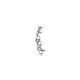 C[C@H]1CC[C@]2(NC1)O[C@@]1(C)C[C@@]3(C)[C@@H]4CC[C@@]5(C)C[C@@H](OPOOO)CC[C@]5(C)[C@@]4(C)CC[C@]3(C)[C@@]1(C)[C@@H]2C